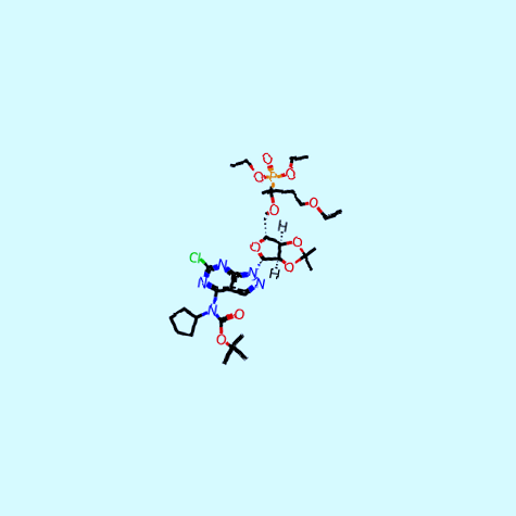 CCOCCC(C)(OC[C@H]1O[C@@H](n2ncc3c(N(C(=O)OC(C)(C)C)C4CCCC4)nc(Cl)nc32)[C@@H]2OC(C)(C)O[C@@H]21)P(=O)(OCC)OCC